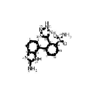 Nc1nc2cccc(-c3cccc(S(N)(=O)=O)c3-c3nn[nH]n3)c2[nH]1